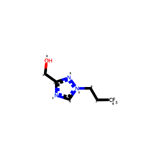 OCc1ncn(CCC(F)(F)F)n1